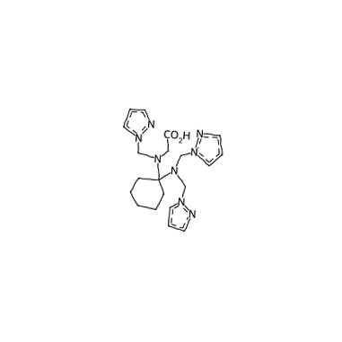 O=C(O)CN(Cn1cccn1)C1(N(Cn2cccn2)Cn2cccn2)CCCCC1